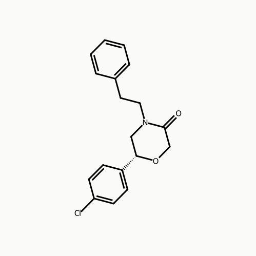 O=C1CO[C@H](c2ccc(Cl)cc2)CN1CCc1ccccc1